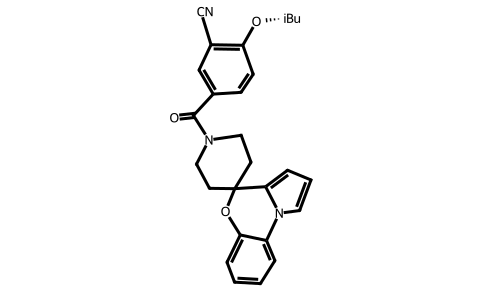 CC[C@@H](C)Oc1ccc(C(=O)N2CCC3(CC2)Oc2ccccc2-n2cccc23)cc1C#N